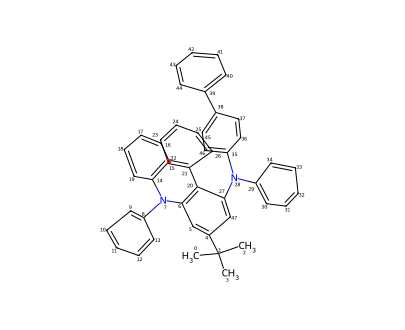 CC(C)(C)c1cc(N(c2ccccc2)c2ccccc2)c(-c2ccccc2)c(N(c2ccccc2)c2ccc(-c3ccccc3)cc2)c1